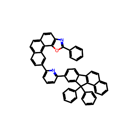 c1ccc(-c2nc3ccc4ccc5ccc(-c6cccc(-c7ccc8c(c7)C(c7ccccc7)(c7ccccc7)c7c-8ccc8ccccc78)n6)cc5c4c3o2)cc1